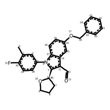 Cc1cc(-n2c([C@H]3CCCO3)c(C=O)c3cc(OCc4ccccc4)ccc32)ccc1F